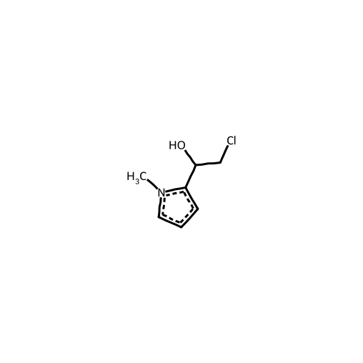 Cn1cccc1C(O)CCl